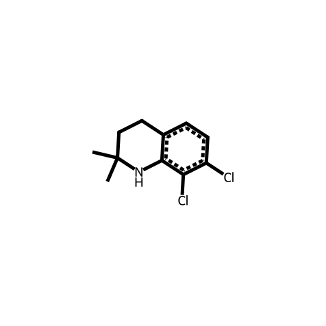 CC1(C)CCc2ccc(Cl)c(Cl)c2N1